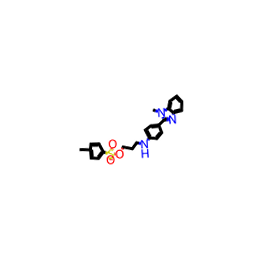 Cc1ccc(S(=O)(=O)OCCCNc2ccc(-c3nc4ccccc4n3C)cc2)cc1